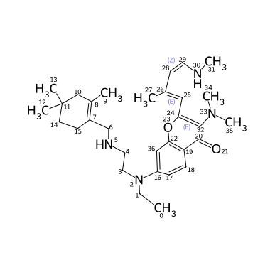 CCN(CCNCC1=C(C)CC(C)(C)CC1)c1ccc(C=O)c(OC(/C=C(C)/C=C\NC)=C/N(C)C)c1